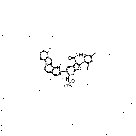 CNC(=O)c1c(-c2ccc(C)cc2F)oc2cc(N(C)S(C)(=O)=O)c(-c3ccc4ccn5c6cccc(F)c6cc5c4n3)cc12